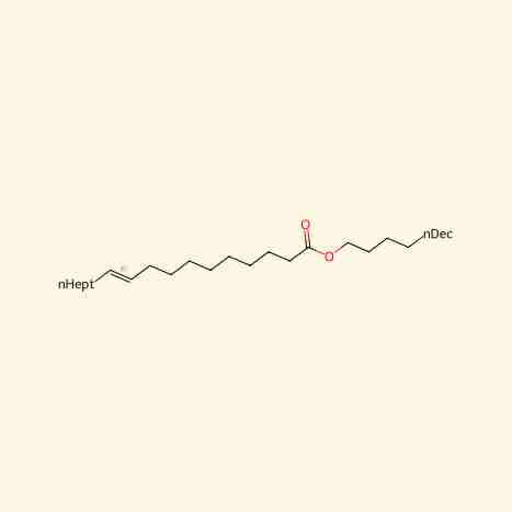 CCCCCCC/C=C/CCCCCCCCC(=O)OCCCCCCCCCCCCCC